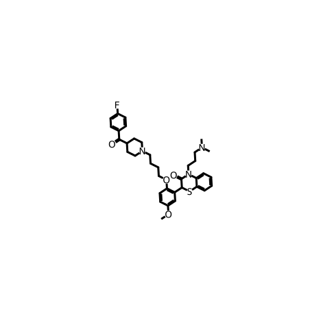 COc1ccc(OCCCCN2CCC(C(=O)c3ccc(F)cc3)CC2)c(C2Sc3ccccc3N(CCCN(C)C)C2=O)c1